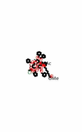 COC(=O)CCCCCCCCO[C@@H]1O[C@H](COCc2ccccc2)[C@@H](O[C@@H]2O[C@@H]3COC(c4ccccc4)O[C@@H]3[C@H](OC(=O)CCl)[C@H]2OC(=O)c2ccccc2)[C@H](O[C@@H]2O[C@@H](C)[C@@H](OCc3ccccc3)[C@@H](OCc3ccccc3)[C@@H]2OCc2ccccc2)[C@H]1NC(C)=O